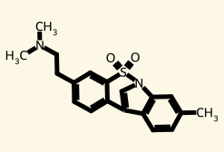 Cc1ccc2c3cn(c2c1)S(=O)(=O)c1cc(CCN(C)C)ccc1-3